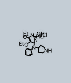 CCOc1nc(O)nc(N(c2ccccc2)C2CCNCC2)c1OCC.Cl.Cl